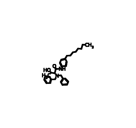 CCCCCCCCc1ccc(NC(=O)[C@H]([C@H](C)O)N(Cc2ccccc2)Cc2ccccc2)cc1